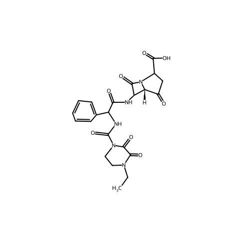 CCN1CCN(C(=O)NC(C(=O)NC2C(=O)N3C(C(=O)O)CC(=O)[C@H]23)c2ccccc2)C(=O)C1=O